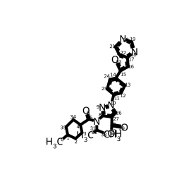 CC1CCC(C(=O)N(c2nn(-c3ccc(-c4cc5ncncc5o4)cc3)cc2C(=O)O)C(C)C)CC1